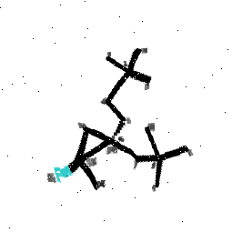 CC(C)(C)CC[C@@]1(CC(C)(C)C)CC1(C)F